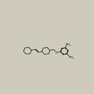 Nc1cc(N)cc(OCC2CCC(/C=C/C3CCCCC3)CC2)c1